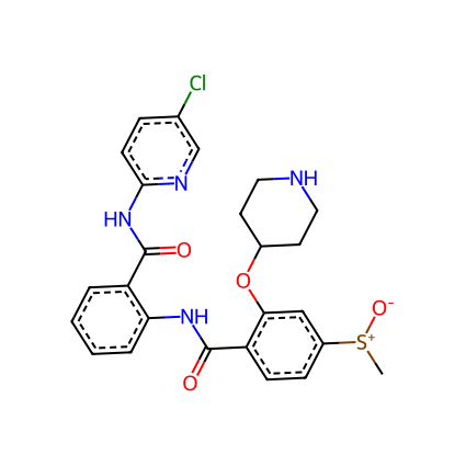 C[S+]([O-])c1ccc(C(=O)Nc2ccccc2C(=O)Nc2ccc(Cl)cn2)c(OC2CCNCC2)c1